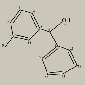 Cc1cccc(C(O)c2ccccc2)c1